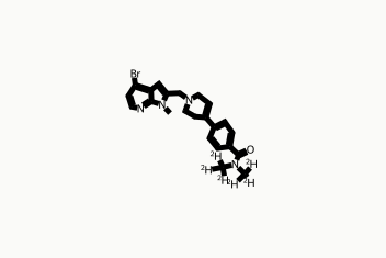 [2H]C([2H])([2H])N(C(=O)c1ccc(C2=CCN(Cc3cc4c(Br)ccnc4n3C)CC2)cc1)C([2H])([2H])[2H]